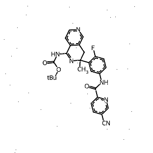 CC(C)(C)OC(=O)NC1=NC(C)(c2cc(NC(=O)c3ccc(C#N)cn3)ccc2F)Cc2cnccc21